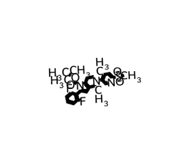 Cc1cc(S(C)(=O)=O)ncc1N1CCc2c(cc(-c3c(F)cccc3F)n2C(=O)OC(C)(C)C)C1C